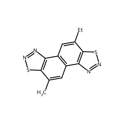 CCc1cc2c(cc(C)c3snnc32)c2nnsc12